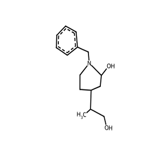 CC(CO)C1CCN(Cc2ccccc2)C(O)C1